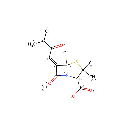 CC(C)C(=O)C=C1C(=O)N2[C@@H]1SC(C)(C)[C@@H]2C(=O)[O-].[Na+]